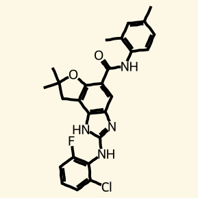 Cc1ccc(NC(=O)c2cc3nc(Nc4c(F)cccc4Cl)[nH]c3c3c2OC(C)(C)C3)c(C)c1